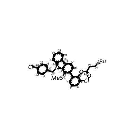 CSc1c(-c2cccc(Cl)c2OC(=O)CCC(C)(C)C)ccc2c3ccccc3n(Cc3ccc(Cl)cc3)c12